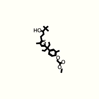 CCOC(=O)COc1ccc(C(CC)(CC)c2cc(C)c(CCC(O)C(C)(C)C)s2)cc1C